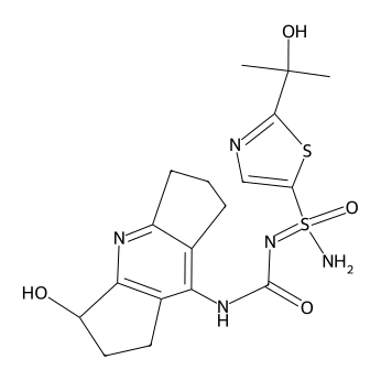 CC(C)(O)c1ncc(S(N)(=O)=NC(=O)Nc2c3c(nc4c2CCC4O)CCC3)s1